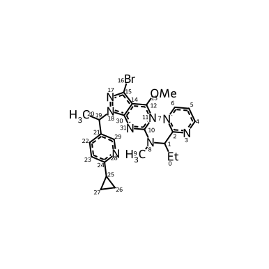 CCC(c1ncccn1)N(C)c1nc(OC)c2c(Br)nn(C(C)c3ccc(C4CC4)nc3)c2n1